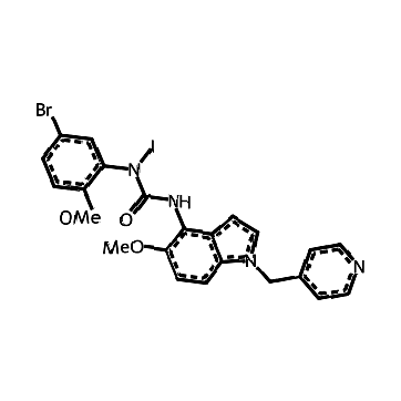 COc1ccc(Br)cc1N(I)C(=O)Nc1c(OC)ccc2c1ccn2Cc1ccncc1